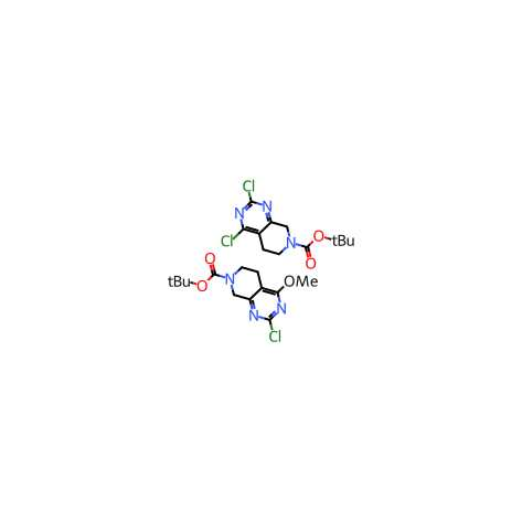 CC(C)(C)OC(=O)N1CCc2c(Cl)nc(Cl)nc2C1.COc1nc(Cl)nc2c1CCN(C(=O)OC(C)(C)C)C2